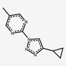 Cc1cnc(-n2cc(C3CC3)nn2)nc1